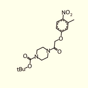 Cc1cc(OCC(=O)N2CCN(C(=O)OC(C)(C)C)CC2)ccc1[N+](=O)[O-]